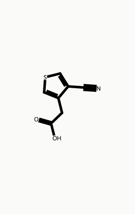 N#Cc1cscc1CC(=O)O